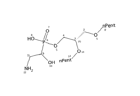 CCCCCOC[C@@H](COP(=O)(O)C(O)CN)OCCCCC